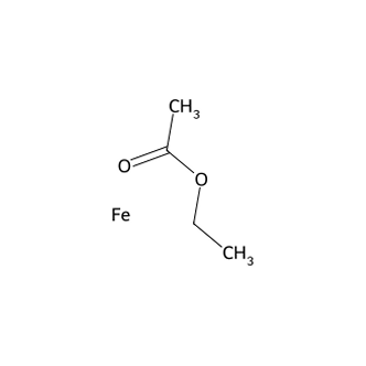 CCOC(C)=O.[Fe]